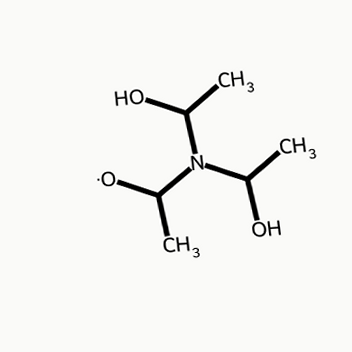 CC([O])N(C(C)O)C(C)O